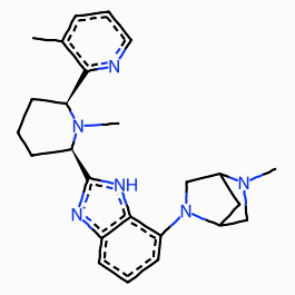 Cc1cccnc1[C@@H]1CCC[C@H](c2nc3cccc(N4CC5CC4CN5C)c3[nH]2)N1C